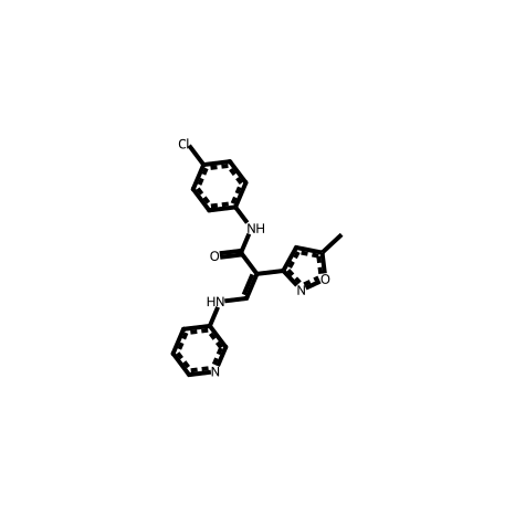 Cc1cc(C(=CNc2cccnc2)C(=O)Nc2ccc(Cl)cc2)no1